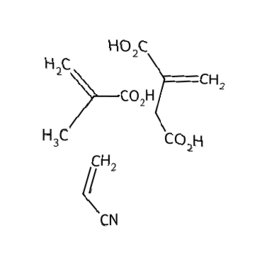 C=C(C)C(=O)O.C=C(CC(=O)O)C(=O)O.C=CC#N